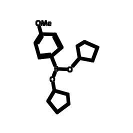 COc1ccc(B(OC2CCCC2)OC2CCCC2)cc1